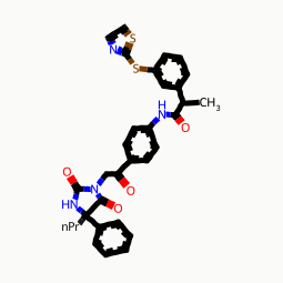 CCCC1(c2ccccc2)NC(=O)N(CC(=O)c2ccc(NC(=O)C(C)c3cccc(Sc4nccs4)c3)cc2)C1=O